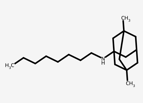 CCCCCCCCNC12CC3CC(C)(CC(C)(C3)C1)C2